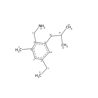 CCc1cc(C)c(CN)c(CC(C)C)c1